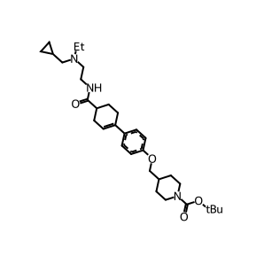 CCN(CCNC(=O)C1CC=C(c2ccc(OCC3CCN(C(=O)OC(C)(C)C)CC3)cc2)CC1)CC1CC1